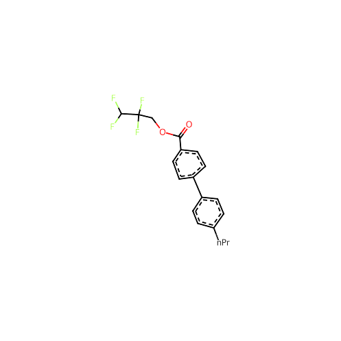 CCCc1ccc(-c2ccc(C(=O)OCC(F)(F)C(F)F)cc2)cc1